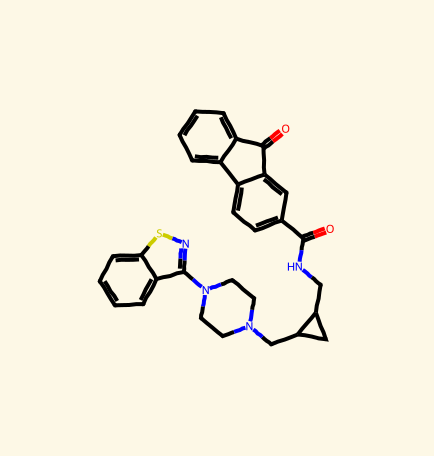 O=C(NCC1CC1CN1CCN(c2nsc3ccccc23)CC1)c1ccc2c(c1)C(=O)c1ccccc1-2